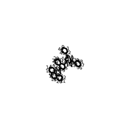 c1ccc(-c2cc(-c3ccc(-n4c5cccc6ccc7cccc4c7c65)c4ccccc34)nc(-c3ccccc3)n2)cc1